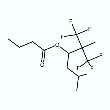 CCCC(=O)OC(CC(C)C)C(C)(C(F)(F)F)C(F)(F)F